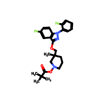 CC1(COc2nn(-c3ccccc3F)c3ccc(F)cc23)CCCN(OC(=O)C(C)(C)C)C1